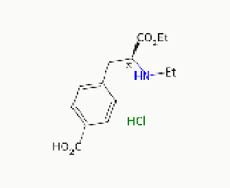 CCN[C@@H](Cc1ccc(C(=O)O)cc1)C(=O)OCC.Cl